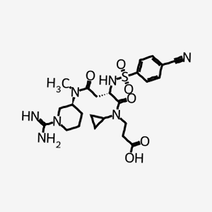 CN(C(=O)C[C@H](NS(=O)(=O)c1ccc(C#N)cc1)C(=O)N(CCC(=O)O)C1CC1)[C@H]1CCCN(C(=N)N)C1